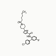 C=CCCCC(=O)N1CCC(c2nc(C(=O)Nc3ccc(F)cc3-c3ccc(Cl)cc3)cs2)CC1